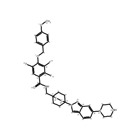 COc1ccc(COc2c(F)cc(C(=O)NCC34CCC(n5cc6ccc(N7CCNCC7)cc6n5)(CC3)CC4)c(F)c2F)cc1